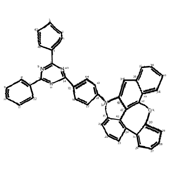 c1ccc(-c2nc(-c3ccccc3)nc(-c3ccc(-n4c5cccc6c7ccccc7oc7c8ccccc8cc4c7c65)cc3)n2)cc1